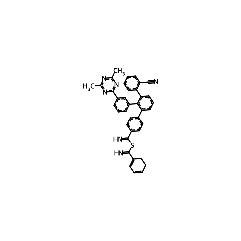 Cc1nc(C)nc(-c2cccc(-c3c(-c4ccc(C(=N)SC(=N)C5=CC=CCC5)cc4)cccc3-c3ccccc3C#N)c2)n1